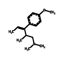 CC=C(c1ccc(OC)cc1)C(C)CN(C)C